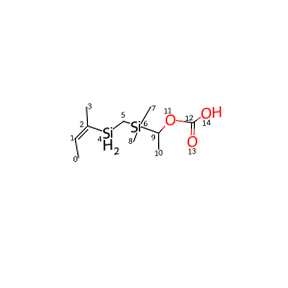 CC=C(C)[SiH2]C[Si](C)(C)C(C)OC(=O)O